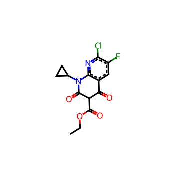 CCOC(=O)C1C(=O)c2cc(F)c(Cl)nc2N(C2CC2)C1=O